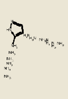 N.N.N.N.N.N.N.N.N.N.N.Nc1ccn[nH]1